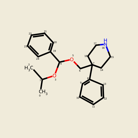 CC(C)OC(OCC1(c2ccccc2)CCNCC1)c1ccccc1